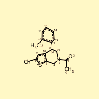 CC(=O)N1Cc2sc(Cl)cc2[C@H](c2ccccc2C)C1